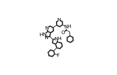 O=C(Cc1ccccc1)Nc1cncc(-c2cnc3[nH]nc(-c4cc5c(-c6ccccc6F)cccc5[nH]4)c3c2)c1